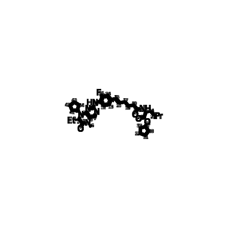 CC[C@@H]1C(=O)N(C)c2cnc(Nc3ccc(C=CCCCC(=O)N[C@@H](CC(C)C)C(=O)OC4CCCC4)cc3F)nc2N1C1CCCC1